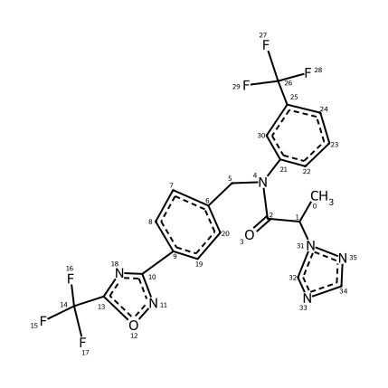 CC(C(=O)N(Cc1ccc(-c2noc(C(F)(F)F)n2)cc1)c1cccc(C(F)(F)F)c1)n1cncn1